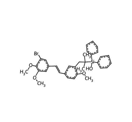 COc1ccc(C=Cc2cc(Br)c(OC)c(OC)c2)cc1CC(C)(C)[Si](O)(c1ccccc1)c1ccccc1